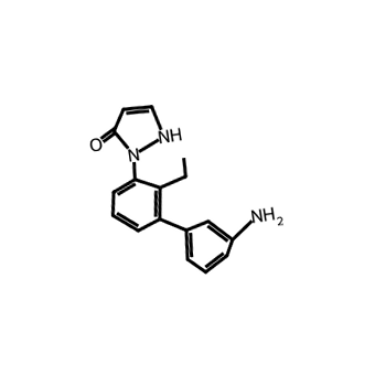 CCc1c(-c2cccc(N)c2)cccc1-n1[nH]ccc1=O